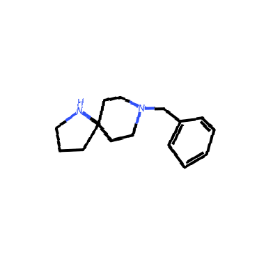 c1ccc(CN2CCC3(CCCN3)CC2)cc1